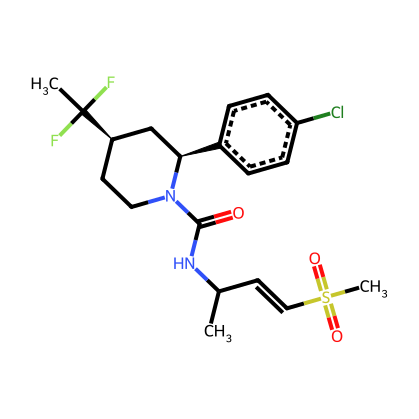 CC(/C=C/S(C)(=O)=O)NC(=O)N1CC[C@@H](C(C)(F)F)C[C@H]1c1ccc(Cl)cc1